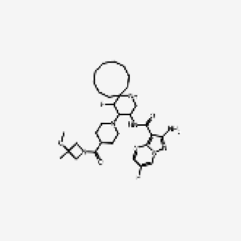 COC1(C)CN(C(=O)C2CCN(C3C(NC(=O)c4c(N)nn5cc(F)cnc45)CNC4(CCCCCCCCC4)C3F)CC2)C1